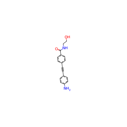 Nc1ccc(C#Cc2ccc(C(=O)NCCO)cc2)cc1